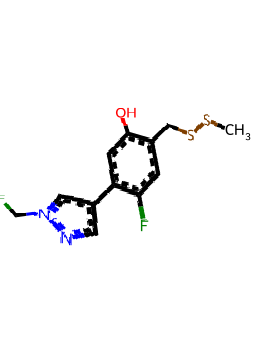 CSSCc1cc(F)c(-c2cnn(CF)c2)cc1O